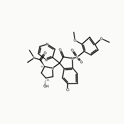 COc1ccc(S(=O)(=O)N2C(=O)C(c3cnccn3)(N3C[C@H](O)C[C@H]3C(=O)N(C)C)c3cc(Cl)ccc32)c(OC)c1